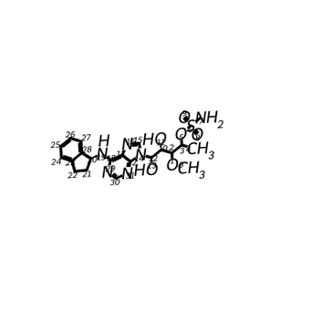 COC(C(C)OS(N)(=O)=O)[C@@H](O)[C@@H](O)n1cnc2c(N[C@H]3CCc4ccccc43)ncnc21